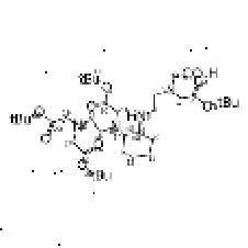 CC(C)(C)OC(=O)CN(CCN[C@H]1CCCC[C@@H]1N(CCN(CC(=O)OC(C)(C)C)CC(=O)OC(C)(C)C)CC(=O)OC(C)(C)C)CC(=O)O